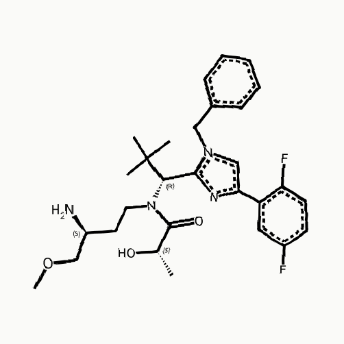 COC[C@@H](N)CCN(C(=O)[C@H](C)O)[C@@H](c1nc(-c2cc(F)ccc2F)cn1Cc1ccccc1)C(C)(C)C